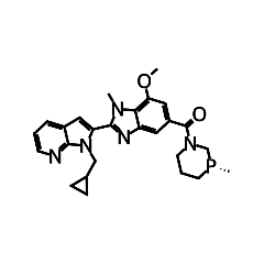 COc1cc(C(=O)N2CCC[P@@](C)C2)cc2nc(-c3cc4cccnc4n3CC3CC3)n(C)c12